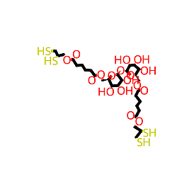 O=C(CCCCC(=O)OC[C@H]1O[C@H](O[C@H]2O[C@H](COC(=O)CCCCC(=O)OCC(S)CS)[C@@H](O)[C@H](O)[C@H]2O)[C@H](O)[C@@H](O)[C@@H]1O)OCC(S)CS